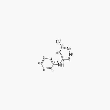 Clc1nncc(Nc2ccccc2)n1